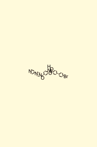 O=C(c1ccc(NS(=O)(=O)c2ccc(-c3ccc(Br)cc3)cc2)cc1)N1CCN(c2ccncc2)CC1